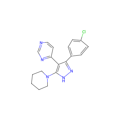 Clc1ccc(-c2n[nH]c(N3CCCCC3)c2-c2ccncn2)cc1